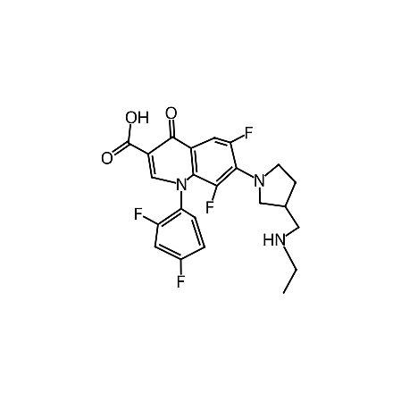 CCNCC1CCN(c2c(F)cc3c(=O)c(C(=O)O)cn(-c4ccc(F)cc4F)c3c2F)C1